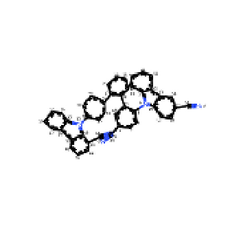 N#Cc1ccc(-n2c3ccccc3c3cc(C#N)ccc32)c(-c2ccccc2-c2ccc(-n3c4ccccc4c4cccc(C#N)c43)cc2)c1